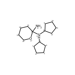 NC1([SiH](C2CCCC2)C2CCCC2)CCCCO1